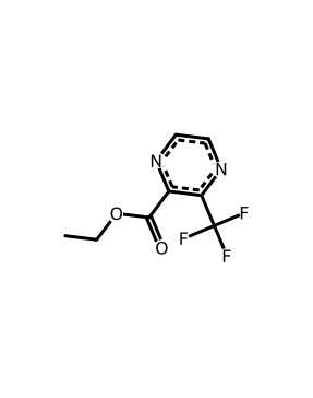 CCOC(=O)c1nccnc1C(F)(F)F